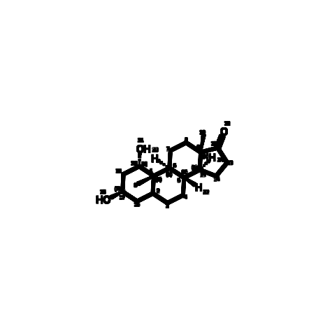 C[C@]12C(CC[C@@H]3[C@@H]1CC[C@]1(C)C(=O)CC[C@@H]31)C[C@@H](O)C[C@@H]2O